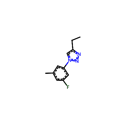 CCc1cn(-c2cc(C)cc(F)c2)nn1